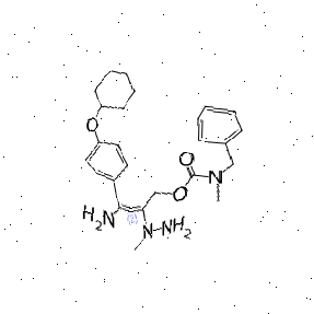 CN(Cc1ccccc1)C(=O)OC/C(=C(/N)c1ccc(OC2CCCCC2)cc1)N(C)N